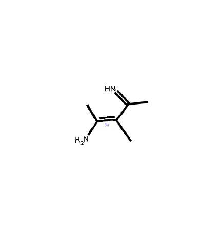 CC(=N)/C(C)=C(\C)N